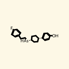 Oc1ccc([C@H]2CC[C@@H]([AsH]CCc3ccc(F)cc3)CC2)cc1